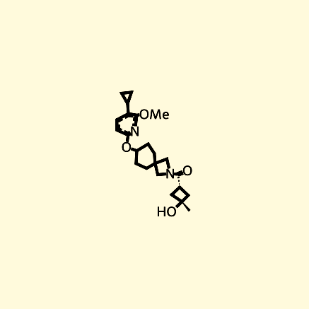 COc1nc(OC2CCC3(CC2)CN(C(=O)[C@H]2C[C@@](C)(O)C2)C3)ccc1C1CC1